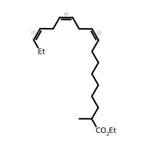 CC/C=C\C/C=C\C/C=C\CCCCCCC(C)C(=O)OCC